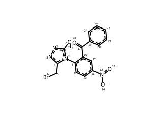 Cc1nnc(CBr)n1-c1ccc([N+](=O)[O-])cc1C(=O)c1ccccc1